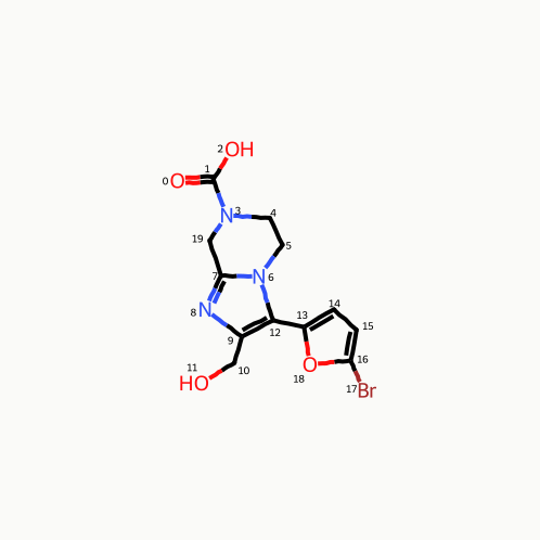 O=C(O)N1CCn2c(nc(CO)c2-c2ccc(Br)o2)C1